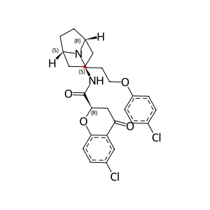 O=C1C[C@H](C(=O)N[C@@H]2C[C@H]3CC[C@@H](C2)N3CCCOc2ccc(Cl)cc2)Oc2ccc(Cl)cc21